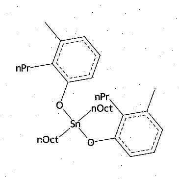 CCCCCCC[CH2][Sn]([CH2]CCCCCCC)([O]c1cccc(C)c1CCC)[O]c1cccc(C)c1CCC